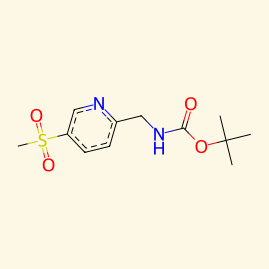 CC(C)(C)OC(=O)NCc1ccc(S(C)(=O)=O)cn1